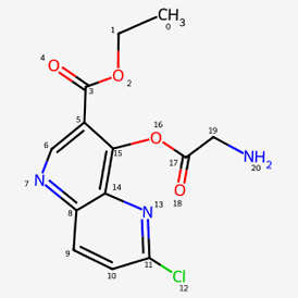 CCOC(=O)c1cnc2ccc(Cl)nc2c1OC(=O)CN